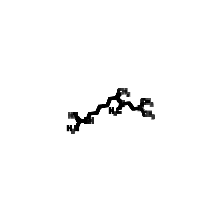 C=C(CCCCCNC(=N)N)N(C)CCN(C)C